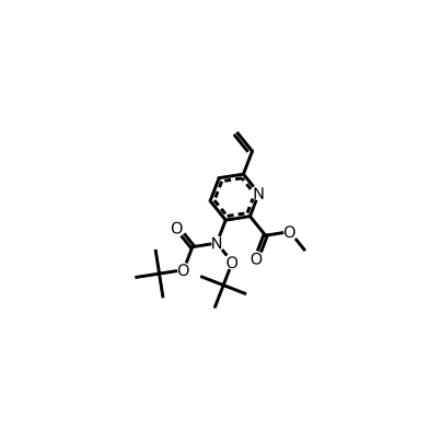 C=Cc1ccc(N(OC(C)(C)C)C(=O)OC(C)(C)C)c(C(=O)OC)n1